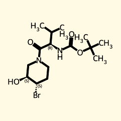 CC(C)[C@@H](NC(=O)OC(C)(C)C)C(=O)N1CC[C@H](Br)[C@@H](O)C1